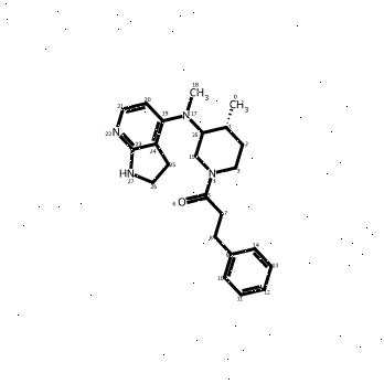 C[C@@H]1CCN(C(=O)CCc2ccccc2)CC1N(C)c1ccnc2c1CCN2